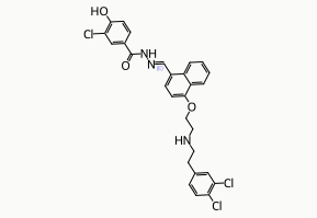 O=C(N/N=C/c1ccc(OCCNCCc2ccc(Cl)c(Cl)c2)c2ccccc12)c1ccc(O)c(Cl)c1